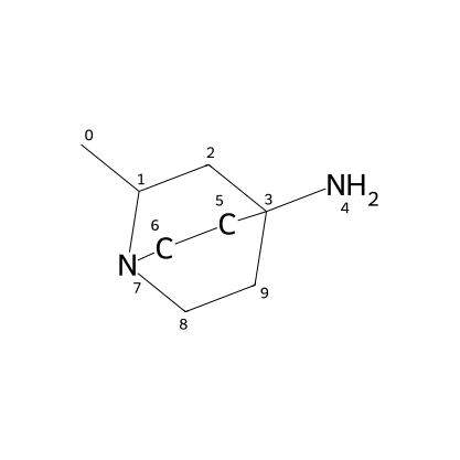 CC1CC2(N)CCN1CC2